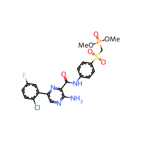 COP(=O)(CS(=O)(=O)c1ccc(NC(=O)c2nc(-c3cc(F)ccc3Cl)cnc2N)cc1)OC